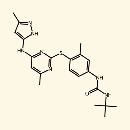 Cc1cc(Nc2cc(C)nc(Sc3ccc(NC(=O)NC(C)(C)C)cc3C)n2)[nH]n1